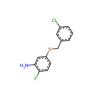 Nc1cc(SCc2cccc(Cl)c2)ccc1F